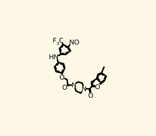 Cc1ccc2oc(C(=O)N3CCN(C(=O)COc4ccc(Nc5ccc(N=O)c(C(F)(F)F)c5)cc4)CC3)cc2c1